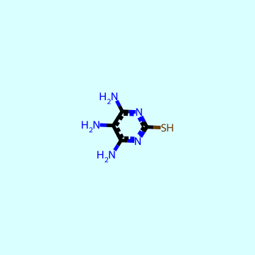 Nc1nc(S)nc(N)c1N